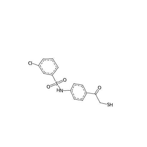 O=C(CS)c1ccc(NS(=O)(=O)c2cccc(Cl)c2)cc1